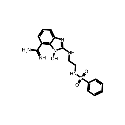 N=C(N)c1cccc2nc(NCCNS(=O)(=O)c3ccccc3)n(O)c12